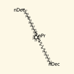 [CH2]CCc1c(SCCCCCCCCCCCCCCCCCCCCCCCC)cccc1SCCCCCCCCCCCCCCCCCCCCCCCC